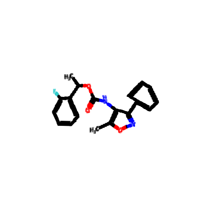 Cc1onc(-c2ccccc2)c1NC(=O)OC(C)c1ccccc1F